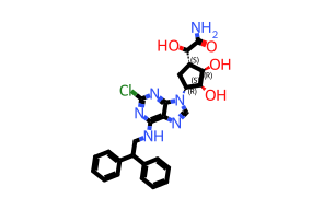 NC(=O)C(O)[C@H]1C[C@@H](n2cnc3c(NCC(c4ccccc4)c4ccccc4)nc(Cl)nc32)[C@H](O)[C@@H]1O